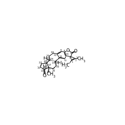 CC1=C(C)C12C(=O)Oc1cc3c(cc12)[C@H]1CC[C@]2(C)C(=O)CC[C@H]2[C@@H]1CC3